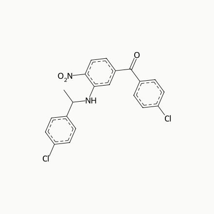 CC(Nc1cc(C(=O)c2ccc(Cl)cc2)ccc1[N+](=O)[O-])c1ccc(Cl)cc1